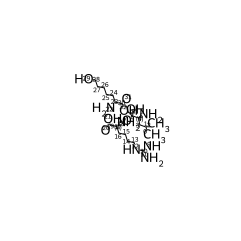 CC(C)C[C@H](N)C(=O)O.N=C(N)NCCCC[C@@H](N)C(=O)O.NC(CCCCCO)C(=O)O